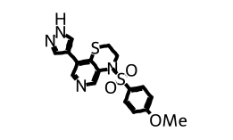 COc1ccc(S(=O)(=O)N2CCSc3c(-c4cn[nH]c4)cncc32)cc1